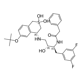 CC(C)(C)Oc1ccc2c(c1)[C@@H](NC[C@@H](O)[C@H](Cc1cc(F)cc(F)c1)NC(=O)Cc1ccccc1)CS(O)(O)C2